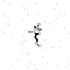 CC(=O)O.CCOCC.CCOCCC(=O)OC